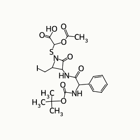 CC(=O)OC(SN1C(=O)C(NC(=O)C(NC(=O)OC(C)(C)C)c2ccccc2)C1CI)C(=O)O